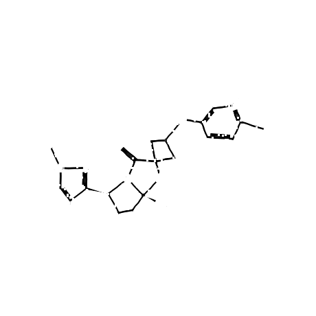 Cc1ccc(OC2CC3(C2)O[C@@H]2CC[C@@H](c4ccn(C)n4)N2C3=O)cn1